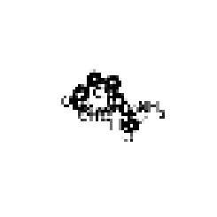 COc1nc(-c2cccc(-c3cccc(-c4ccn5c(=O)cc(C=O)nc5c4)c3Cl)c2Cl)ccc1CC(OC(N)=O)C1CCC(=O)N1